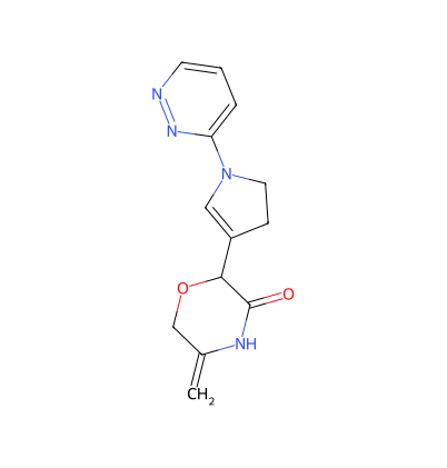 C=C1COC(C2=CN(c3cccnn3)CC2)C(=O)N1